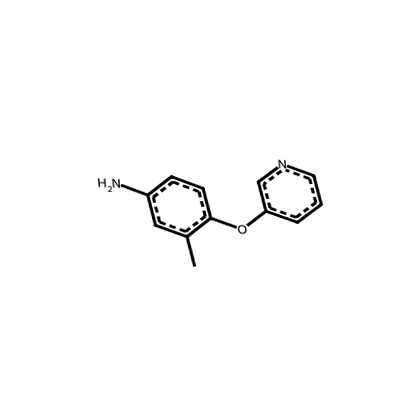 Cc1cc(N)ccc1Oc1cccnc1